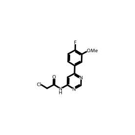 COc1cc(-c2cc(NC(=O)CCl)ncn2)ccc1F